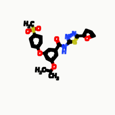 CC(C)Oc1cc(Oc2ccc(S(C)(=O)=O)cc2)cc(C(=O)Nc2nnc(-c3ccco3)s2)c1